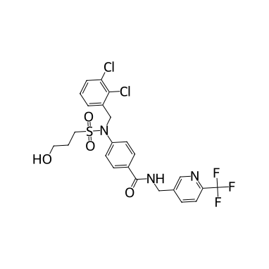 O=C(NCc1ccc(C(F)(F)F)nc1)c1ccc(N(Cc2cccc(Cl)c2Cl)S(=O)(=O)CCCO)cc1